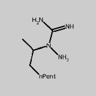 CCCCCCC(C)N(N)C(=N)N